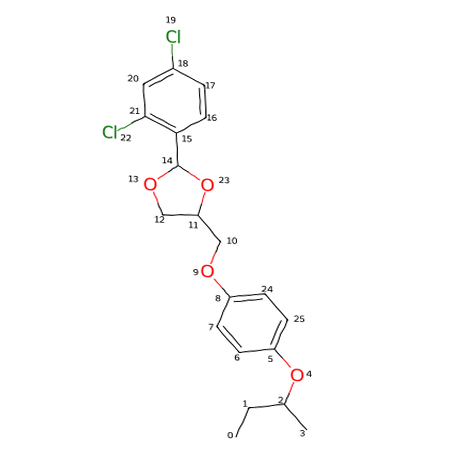 CCC(C)Oc1ccc(OCC2COC(c3ccc(Cl)cc3Cl)O2)cc1